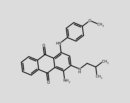 COc1ccc(Nc2cc(NCC(C)C)c(N)c3c2C(=O)c2ccccc2C3=O)cc1